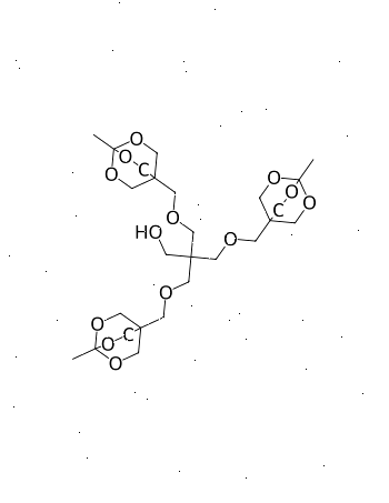 CC12OCC(COCC(CO)(COCC34COC(C)(OC3)OC4)COCC34COC(C)(OC3)OC4)(CO1)CO2